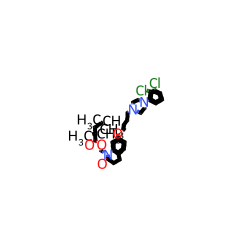 CC(C)(C)CC(C)(C)C(=O)OCN1C(=O)CCc2ccc(OCCCCN3CCN(c4cccc(Cl)c4Cl)CC3)cc21